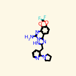 NC1=Nc2c(ccc3c2OC(F)(F)O3)C2=NC(Cc3cccnc3N3CCCC3)NN12